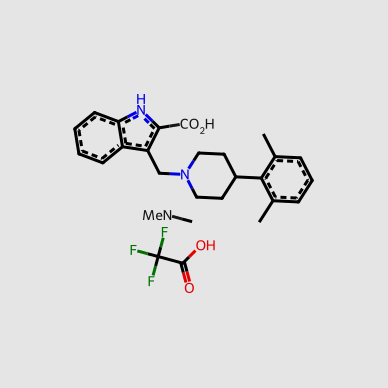 CNC.Cc1cccc(C)c1C1CCN(Cc2c(C(=O)O)[nH]c3ccccc23)CC1.O=C(O)C(F)(F)F